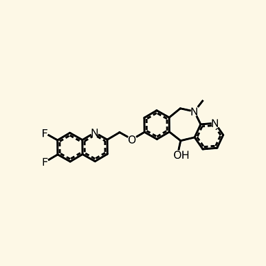 CN1Cc2ccc(OCc3ccc4cc(F)c(F)cc4n3)cc2C(O)c2cccnc21